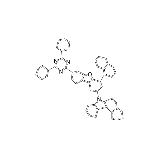 c1ccc(-c2nc(-c3ccccc3)nc(-c3ccc4c(c3)oc3c(-c5cccc6ccccc56)cc(-n5c6ccccc6c6c7ccccc7ccc65)cc34)n2)cc1